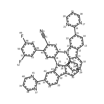 N#Cc1cc(-n2c3ccccc3c3ccc(-c4ncccn4)cc32)c(-n2c3ccccc3c3ccc(-c4ncccn4)cc32)cc1-c1cc(F)cc(F)c1